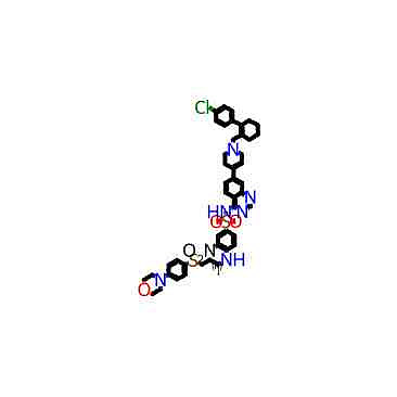 C[C@H](CCSc1ccc(N2CCOCC2)cc1)Nc1ccc(S(=O)(=O)Nc2ncnc3cc(C4=CCN(CC5=C(c6ccc(Cl)cc6)CCCC5)CC4)ccc23)cc1[N+](=O)[O-]